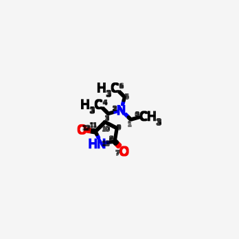 CCN(CC)CC.O=C1CCC(=O)N1